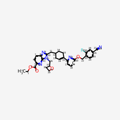 CCOC(=O)c1ccc2nc(CC3CC=C(c4cccc(OCc5ccc(C#N)cc5F)n4)CC3)n(CC3CCO3)c2n1